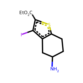 CCOC(=O)c1sc2c(c1I)CC(N)CC2